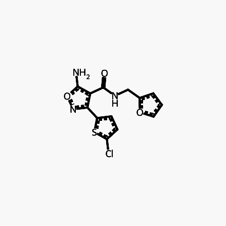 Nc1onc(-c2ccc(Cl)s2)c1C(=O)NCc1ccco1